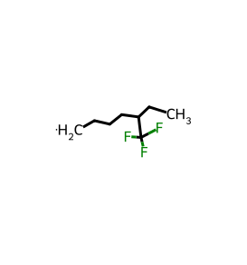 [CH2]CCCC(CC)C(F)(F)F